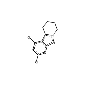 Clc1nc(Cl)c2c3n(nc2n1)CCCC3